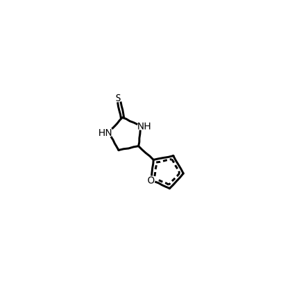 S=C1NCC(c2ccco2)N1